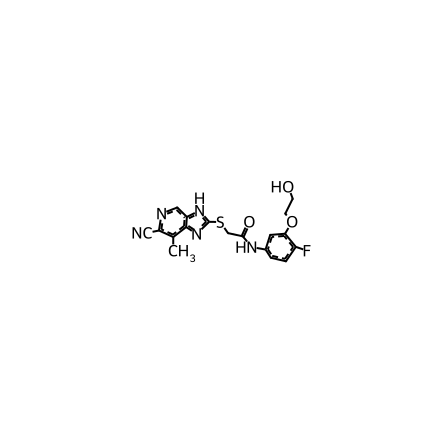 Cc1c(C#N)ncc2[nH]c(SCC(=O)Nc3ccc(F)c(OCCO)c3)nc12